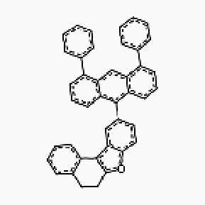 c1ccc(-c2cccc3c(-c4ccc5oc6c(c5c4)-c4ccccc4CC6)c4cccc(-c5ccccc5)c4cc23)cc1